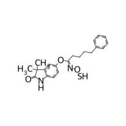 CC1(C)C(=O)Nc2ccc(OC(CCCCc3ccccc3)=NOS)cc21